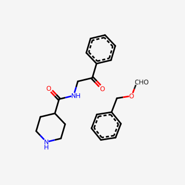 O=C(CNC(=O)C1CCNCC1)c1ccccc1.O=COCc1ccccc1